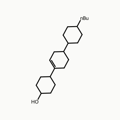 CCCCC1CCC(C2CC=C(C3CCC(O)CC3)CC2)CC1